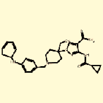 N#CCC1(n2cc(C(N)=O)c(NC(=O)C3CC3)n2)CCN(Cc2ccc(NC3C=CC=CC3)cc2)CC1